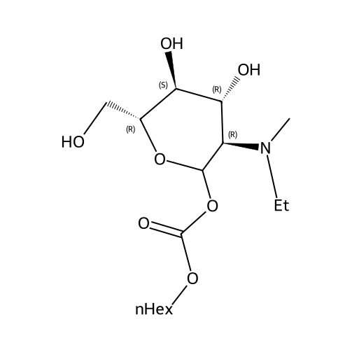 CCCCCCOC(=O)OC1O[C@H](CO)[C@@H](O)[C@H](O)[C@H]1N(C)CC